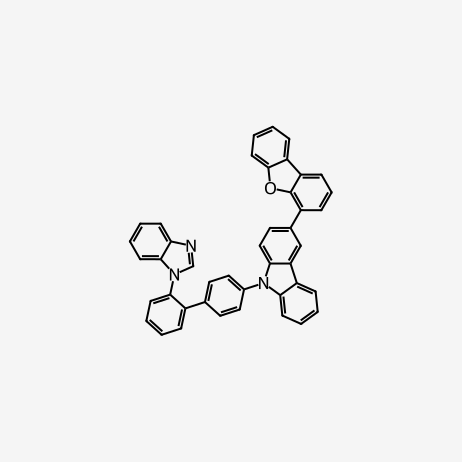 c1ccc(-n2cnc3ccccc32)c(-c2ccc(-n3c4ccccc4c4cc(-c5cccc6c5oc5ccccc56)ccc43)cc2)c1